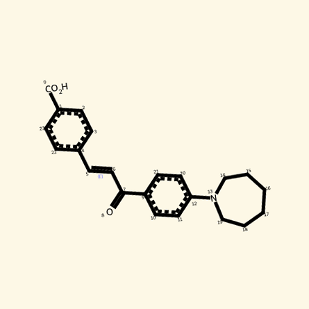 O=C(O)c1ccc(/C=C/C(=O)c2ccc(N3CCCCCC3)cc2)cc1